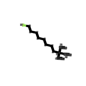 CO[Si](CCCCCCCCF)(OC)OC